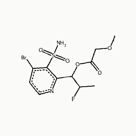 COCC(=O)OC(c1nccc(Br)c1S(N)(=O)=O)C(C)F